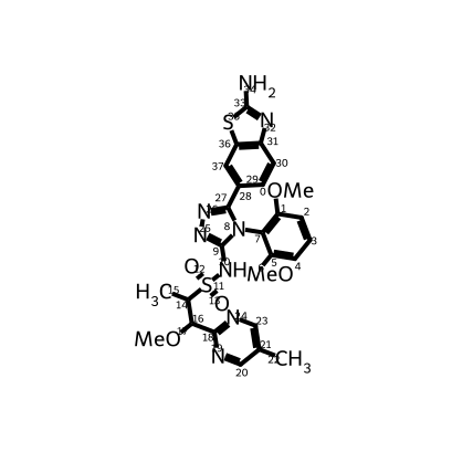 COc1cccc(OC)c1-n1c(NS(=O)(=O)C(C)C(OC)c2ncc(C)cn2)nnc1-c1ccc2nc(N)sc2c1